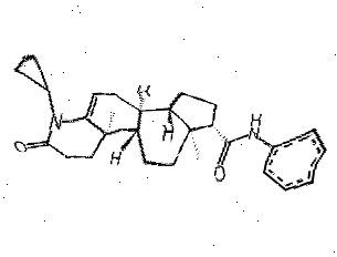 C[C@]12CC[C@H]3[C@@H](CC=C4N(C5CC5)C(=O)CC[C@@]43C)[C@@H]1CC[C@@H]2C(=O)Nc1ccccc1